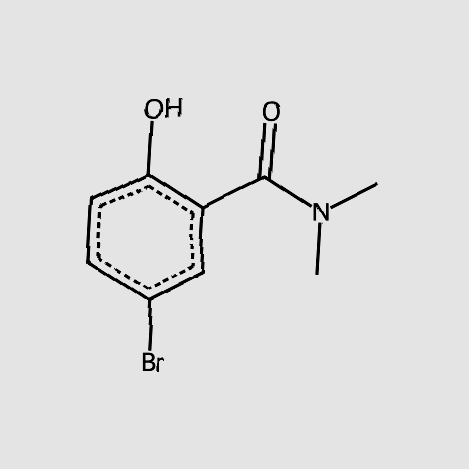 CN(C)C(=O)c1cc(Br)ccc1O